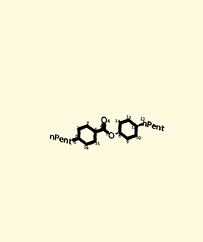 CCCCCC1CCC(C(=O)O[C@H]2CC[C@H](CCCCC)CC2)CC1